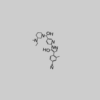 CCN(C)C1CCCN(C(O)c2ccc(-n3ncc(-c4ccc(C#N)cc4C)c3O)nc2)C1